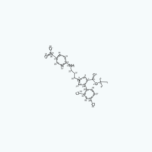 CC(C)(C)OC(=O)c1cn(CCCNc2ccc([N+](=O)[O-])cn2)cc1-c1ccc(Cl)cc1Cl